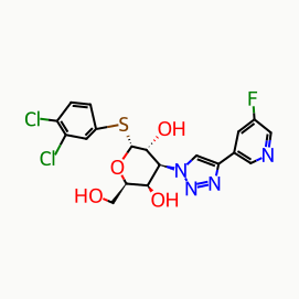 OC[C@H]1O[C@H](Sc2ccc(Cl)c(Cl)c2)[C@H](O)[C@@H](n2cc(-c3cncc(F)c3)nn2)[C@H]1O